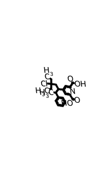 CCC(Cl)(CC)CC(c1cc(C(=O)O)nc(C(=O)O)c1)C(C)c1ccccc1